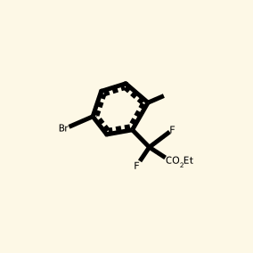 CCOC(=O)C(F)(F)c1cc(Br)ccc1C